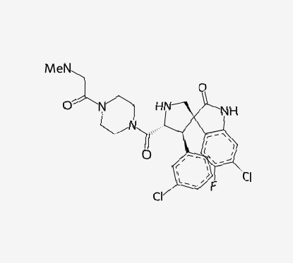 CNCC(=O)N1CCN(C(=O)[C@@H]2NC[C@]3(C(=O)Nc4cc(Cl)c(F)cc43)[C@H]2c2cccc(Cl)c2)CC1